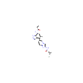 C=CC(=O)Nc1cc(C)c(-c2ccc3nc(NC(=O)[C@@H]4C[C@@H]4F)cn3c2)c2cn[nH]c12